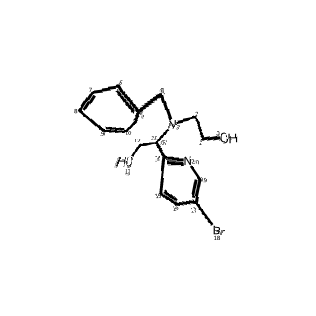 OCCN(Cc1ccccc1)[C@H](CO)c1ccc(Br)cn1